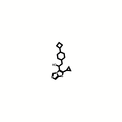 OC(CC1CCC(C2CCC2)CC1)c1c(C2CC2)sc2cncn12